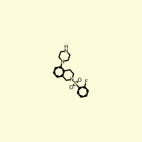 O=S(=O)(c1ccccc1F)N1CCc2c(cccc2N2CCNCC2)C1